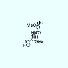 CCOc1ccc(C(=O)NCC(=O)NCC(CCOC)c2csc3c(F)cccc23)cc1OC